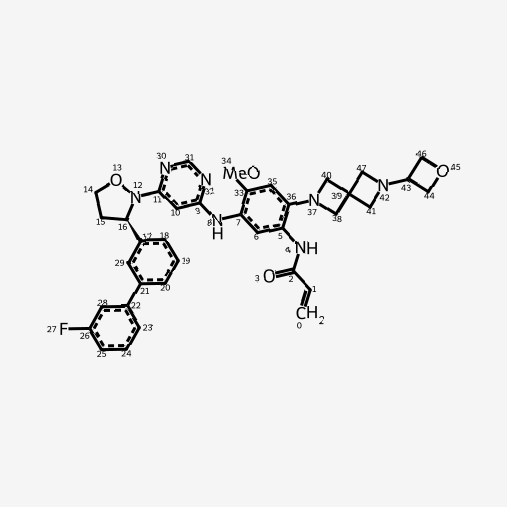 C=CC(=O)Nc1cc(Nc2cc(N3OCC[C@@H]3c3cccc(-c4cccc(F)c4)c3)ncn2)c(OC)cc1N1CC2(C1)CN(C1COC1)C2